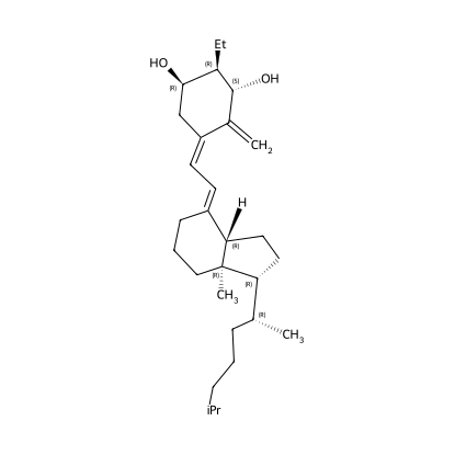 C=C1C(=CC=C2CCC[C@]3(C)[C@@H]([C@H](C)CCCC(C)C)CC[C@@H]23)C[C@@H](O)[C@@H](CC)[C@@H]1O